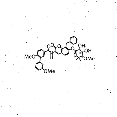 COc1cccc(-c2cc(C(=O)Nc3cc4ccc(O[C@@H]5OC(C)(C)[C@H](OC)[C@@H](O)[C@H]5O)c(Cc5ccccc5)c4oc3=O)ccc2OC)c1